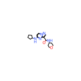 O=C(NC1CCOCC1)c1cnn2ccc(NC3CCCC3)nc12